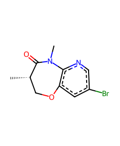 C[C@H]1COc2cc(Br)cnc2N(C)C1=O